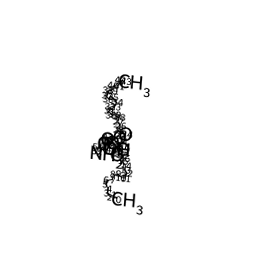 CC/C=C\C/C=C\C/C=C\C/C=C\CCCCC(=O)O[C@H](COC(=O)CCC/C=C\C/C=C\C/C=C\C/C=C\CCCCC)COP(=O)(O)OCCN